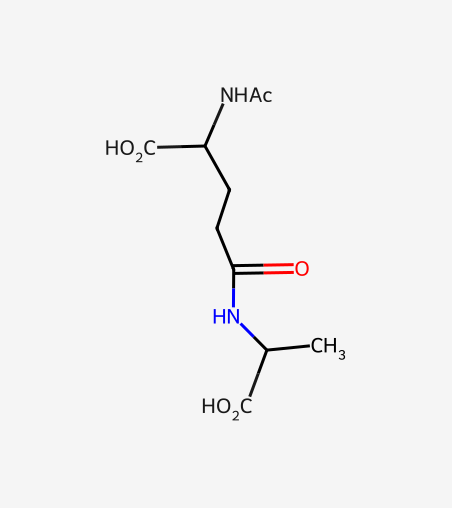 CC(=O)NC(CCC(=O)NC(C)C(=O)O)C(=O)O